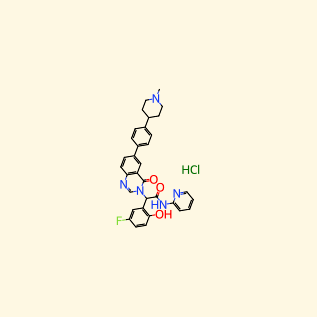 CN1CCC(c2ccc(-c3ccc4ncn(C(C(=O)Nc5ccccn5)c5cc(F)ccc5O)c(=O)c4c3)cc2)CC1.Cl